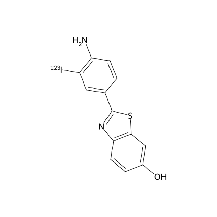 Nc1ccc(-c2nc3ccc(O)cc3s2)cc1[123I]